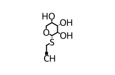 C#CCS[C@@H]1OC[C@@H](O)[C@H](O)[C@H]1O